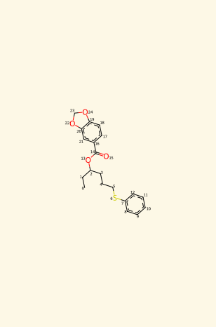 CCC(CCCSc1ccccc1)OC(=O)c1ccc2c(c1)OCO2